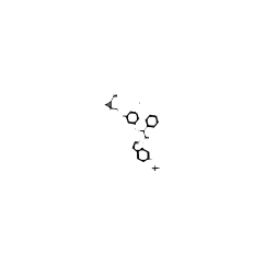 COc1cc(NC(C(=O)n2ccc3ccc(OC(F)(F)F)cc32)c2ccc(Cl)cc2)cc(OCC2(F)CC2C(=O)O)c1